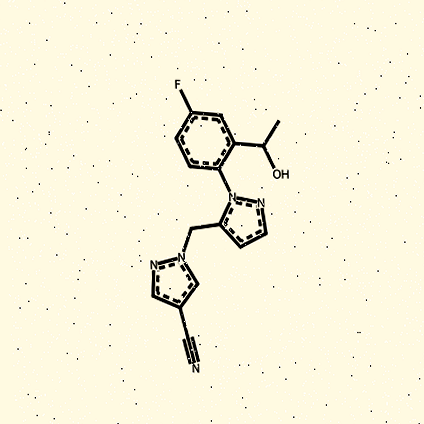 CC(O)c1cc(F)ccc1-n1nccc1Cn1cc(C#N)cn1